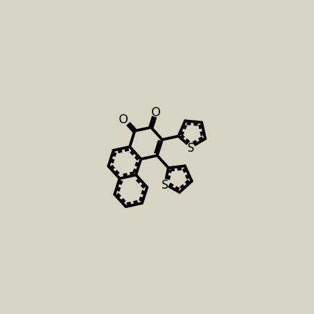 O=C1C(=O)c2ccc3ccccc3c2C(c2cccs2)=C1c1cccs1